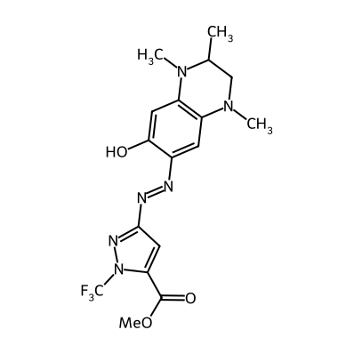 COC(=O)c1cc(N=Nc2cc3c(cc2O)N(C)C(C)CN3C)nn1C(F)(F)F